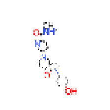 CNC(=O)c1ccc(N2CCC[C@]3(CCN([C@H]4CC[C@H](O)CC4)C3=O)C2)cn1